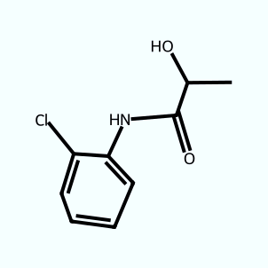 CC(O)C(=O)Nc1ccccc1Cl